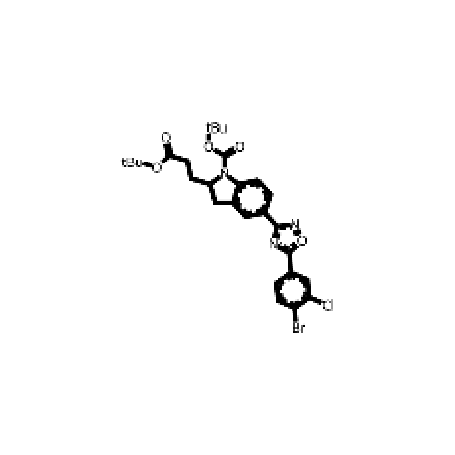 CC(C)(C)OC(=O)CCC1Cc2cc(-c3noc(-c4ccc(Br)c(Cl)c4)n3)ccc2N1C(=O)OC(C)(C)C